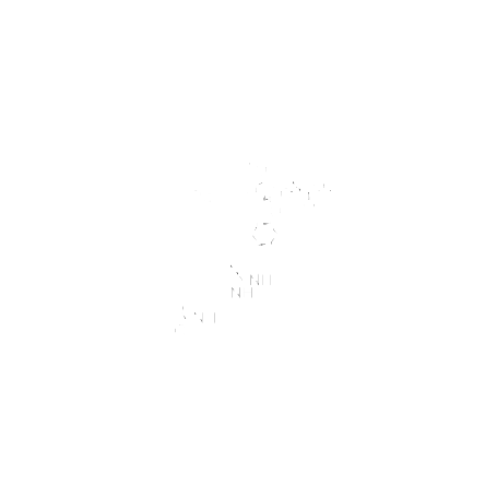 CC(C)(C)OC(=O)NCCCNC1=NCC(c2ccc3c(c2)CC[C@H](C(C)(ONC(=O)OC(C)(C)C)C(=O)OC(C)(C)C)O3)CN1.[Pd]